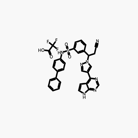 N#CCC(c1cccc(S(=O)(=O)Nc2ccc(-c3ccccc3)cc2)c1)n1cc(-c2ncnc3[nH]ccc23)cn1.O=C(O)C(F)(F)F